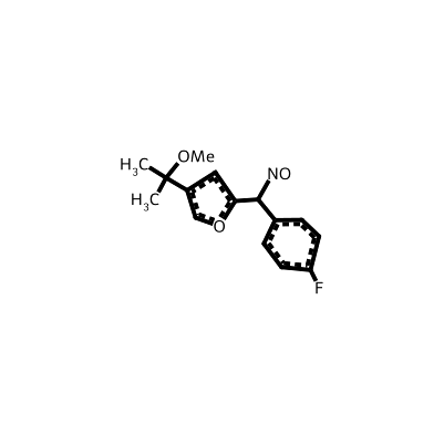 COC(C)(C)c1coc(C(N=O)c2ccc(F)cc2)c1